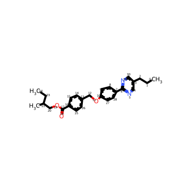 CCCc1cnc(-c2ccc(OCc3ccc(C(=O)OCC(C)CC)cc3)cc2)nc1